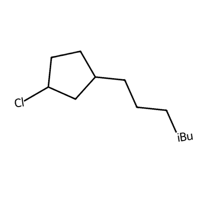 CCC(C)CCCC1CCC(Cl)C1